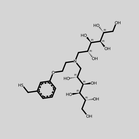 OC[C@@H](O)[C@@H](O)[C@H](O)[C@H](O)CN(CCOc1cccc(CS)c1)C[C@@H](O)[C@@H](O)[C@H](O)[C@H](O)CO